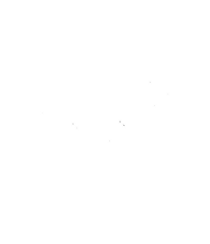 Cc1ccc(Cl)nc1C(=O)NCC1CC1